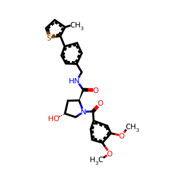 COc1ccc(C(=O)N2C[C@H](O)C[C@H]2C(=O)NCc2ccc(-c3sccc3C)cc2)cc1OC